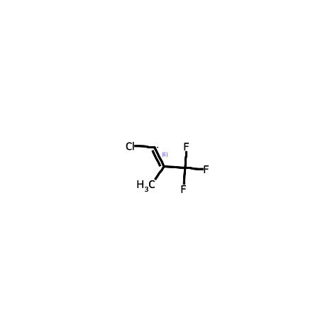 C/C(=[C]\Cl)C(F)(F)F